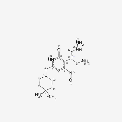 CC1(C)CCC(Cc2cc(N=O)c(/C(=C/NN)CN)c(=O)[nH]2)CC1